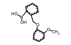 COc1ccccc1OCc1ccccc1B(O)O